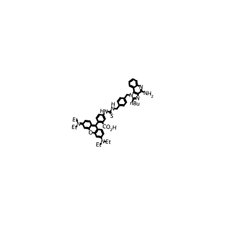 CCCCc1nc2c(N)nc3ccccc3c2n1Cc1ccc(CNC(=S)Nc2ccc(-c3c4ccc(=[N+](CC)CC)cc-4oc4cc(N(CC)CC)ccc34)c(C(=O)O)c2)cc1